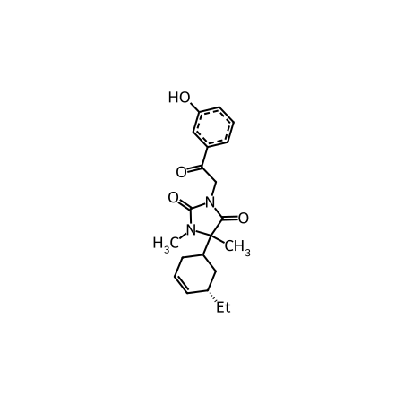 CC[C@@H]1C=CCC(C2(C)C(=O)N(CC(=O)c3cccc(O)c3)C(=O)N2C)C1